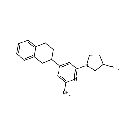 Nc1nc(C2CCc3ccccc3C2)cc(N2CCC(N)C2)n1